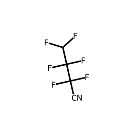 N#CC(F)(F)C(F)(F)C(F)F